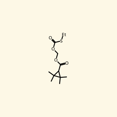 CCSC(=O)OCOC(=O)C1C(C)(C)C1(C)C